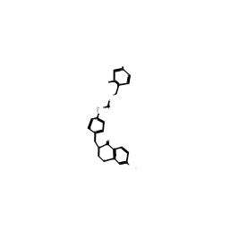 O=C(Nc1ccc(CC2CCc3cc(O)ccc3C2=O)cc1)OCc1ccc(F)cc1F